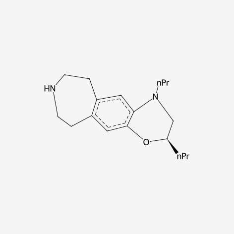 CCC[C@@H]1CN(CCC)c2cc3c(cc2O1)CCNCC3